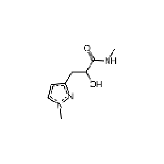 CNC(=O)C(O)Cc1ccn(C)n1